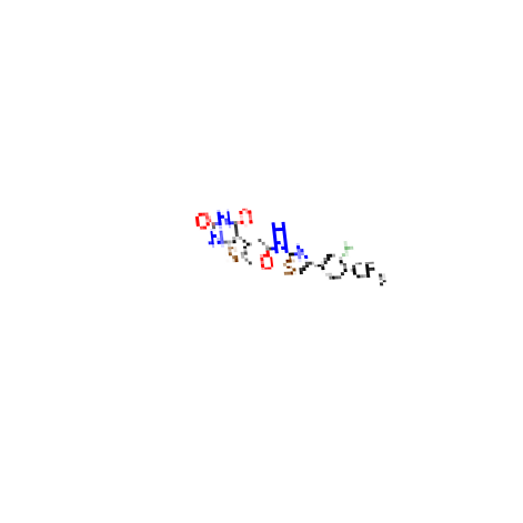 Cc1sc2c(c1CC(=O)Nc1nc(-c3ccc(C(F)(F)F)c(F)c3)cs1)c(=O)n(C)c(=O)n2C